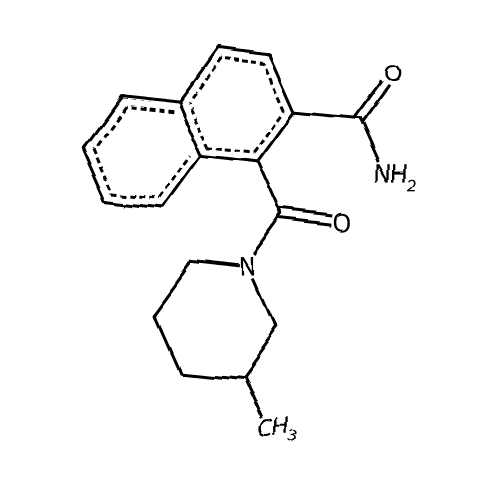 CC1CCCN(C(=O)c2c(C(N)=O)ccc3ccccc23)C1